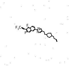 C=CCCC1CCC(CCc2cnc(-c3ccc4c(F)c(C#CC(F)(F)F)c(F)cc4c3)nc2)CC1